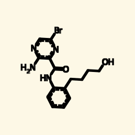 Nc1ncc(Br)nc1C(=O)Nc1ccccc1CCCCO